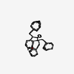 O=C1C(Cc2ccccc2)c2cc[c]cc2C1(Cc1ccccc1)Cc1ccccc1